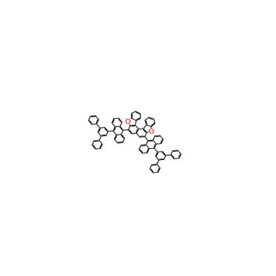 c1ccc(-c2cc(-c3ccccc3)cc(-c3c4ccccc4c(-c4cc5cc(-c6c7ccccc7c(-c7cc(-c8ccccc8)cc(-c8ccccc8)c7)c7ccccc67)c6oc7ccccc7c6c5c5c4oc4ccccc45)c4ccccc34)c2)cc1